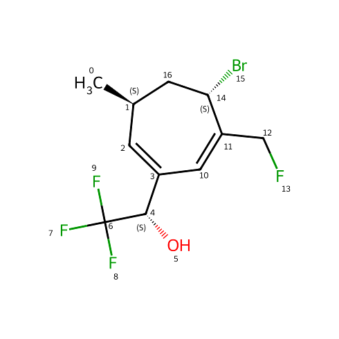 C[C@@H]1C=C([C@H](O)C(F)(F)F)C=C(CF)[C@@H](Br)C1